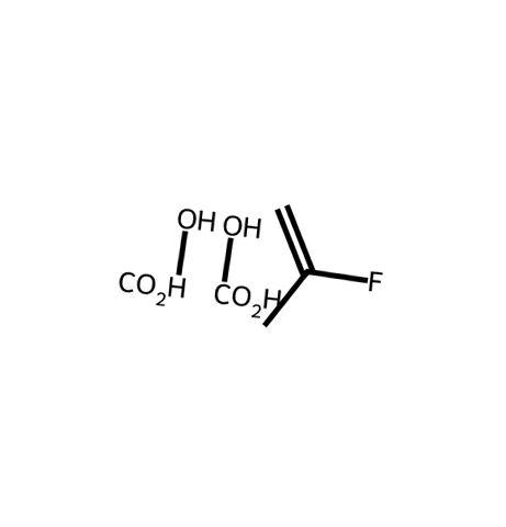 C=C(C)F.O=C(O)O.O=C(O)O